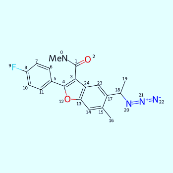 CNC(=O)c1c(-c2ccc(F)cc2)oc2cc(C)c(C(C)N=[N+]=[N-])cc12